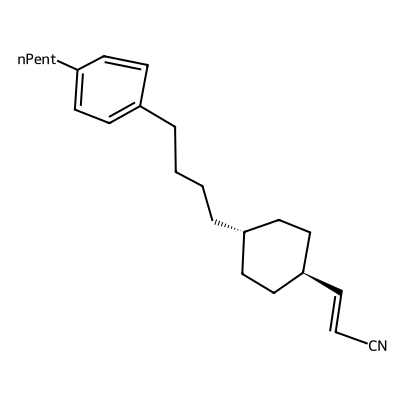 CCCCCc1ccc(CCCC[C@H]2CC[C@H](C=CC#N)CC2)cc1